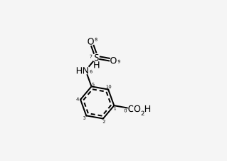 O=C(O)c1cccc(N[SH](=O)=O)c1